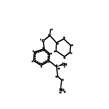 CC(Oc1cccc([C@H](O)CCN)c1)C1CCCCC1